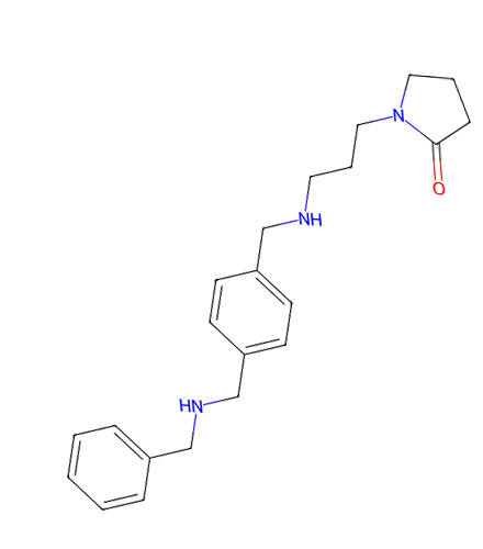 O=C1CCCN1CCCNCc1ccc(CNCc2ccccc2)cc1